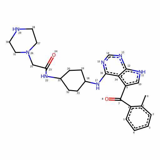 Cc1ccccc1C(=O)c1c[nH]c2ncnc(NC3CCC(NC(=O)CN4CCNCC4)CC3)c12